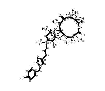 CC[C@H]1OC(=O)[C@H](C)[C@@H](OC)[C@H](C)[C@@H](O[C@@H]2O[C@H](C)C[C@H](N(C)CCCc3cn(Cc4ccc(F)cc4)nn3)[C@H]2O)[C@](C)(OC)C[C@@H](C)C(=O)[C@H](C)[C@@H](O)[C@]1(C)O